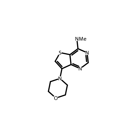 CNc1ncnc2c(N3CCOCC3)csc12